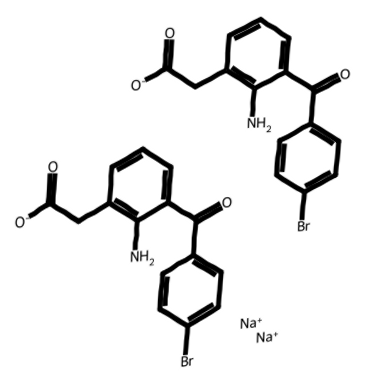 Nc1c(CC(=O)[O-])cccc1C(=O)c1ccc(Br)cc1.Nc1c(CC(=O)[O-])cccc1C(=O)c1ccc(Br)cc1.[Na+].[Na+]